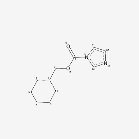 O=C(OCC1CCCCC1)n1ccnc1